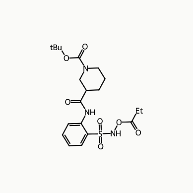 CCC(=O)ONS(=O)(=O)c1ccccc1NC(=O)C1CCCN(C(=O)OC(C)(C)C)C1